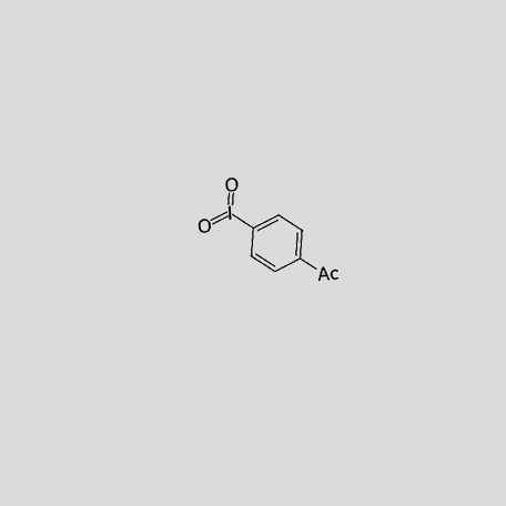 CC(=O)c1ccc(I(=O)=O)cc1